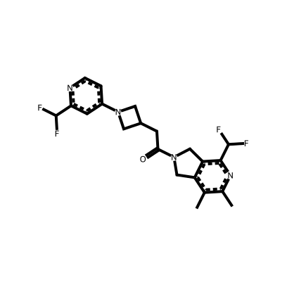 Cc1nc(C(F)F)c2c(c1C)CN(C(=O)CC1CN(c3ccnc(C(F)F)c3)C1)C2